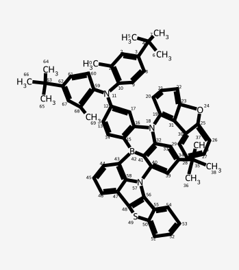 Cc1cc(C(C)(C)C)ccc1N(c1ccc2c(c1)N(c1cccc3oc4ccccc4c13)c1cc(C(C)(C)C)cc3c1B2c1cccc2c4sc5ccccc5c4n-3c12)c1ccc(C(C)(C)C)cc1C